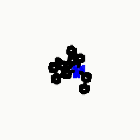 c1ccc(-c2cccc(-c3nc(-c4cccc(-c5ccccc5)c4)nc(-c4ccc5c(c4)C4(c6ccccc6-c6ccccc6-5)c5ccccc5-c5c4ccc4ccccc54)n3)c2)cc1